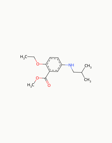 CCOc1ccc(NCC(C)C)cc1C(=O)OC